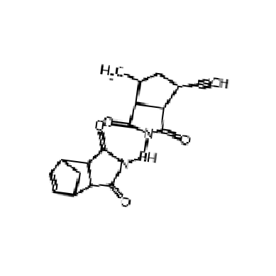 C#CC1CC(C)C2C(=O)N(BN3C(=O)C4C5C=CC(C5)C4C3=O)C(=O)C12